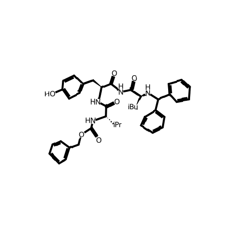 CC[C@H](C)[C@H](NC(c1ccccc1)c1ccccc1)C(=O)NC(=O)[C@H](Cc1ccc(O)cc1)NC(=O)[C@@H](NC(=O)OCc1ccccc1)C(C)C